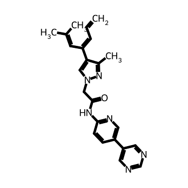 C=C/C=C(\C=C(C)C)c1cn(CC(=O)Nc2ccc(-c3cncnc3)cn2)nc1C